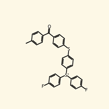 Cc1ccc(C(=O)c2ccc(Sc3ccc([S+](c4ccc(F)cc4)c4ccc(F)cc4)cc3)cc2)cc1